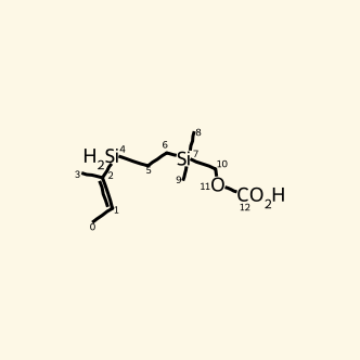 CC=C(C)[SiH2]CC[Si](C)(C)COC(=O)O